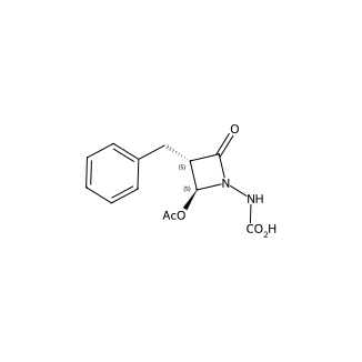 CC(=O)O[C@H]1[C@H](Cc2ccccc2)C(=O)N1NC(=O)O